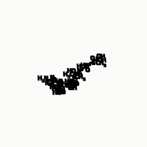 CC(O)(CO)C(=O)SCCNC(=O)CCNC(=O)C(O)C(C)(C)COP(=O)(O)OP(=O)(O)OC[C@H]1O[C@@H](n2cnc3c(N)ncnc32)[C@H](O)[C@@H]1OP(=O)(O)O